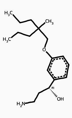 CCCC(C)(CCC)COc1cccc([C@H](O)CCN)c1